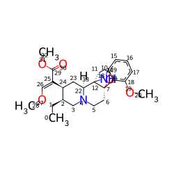 CC[C@@H]1CN2CC[C@@]34OCCC[C@@]3(Nc3cccc(OC)c34)[C@@H]2C[C@@H]1/C(=C\OC)C(=O)OC